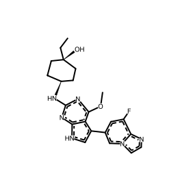 CC[C@]1(O)CC[C@@H](Nc2nc(OC)c3c(-c4cc(F)c5nccn5c4)c[nH]c3n2)CC1